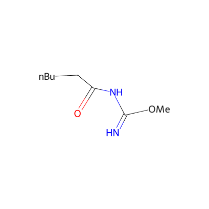 CCCCCC(=O)NC(=N)OC